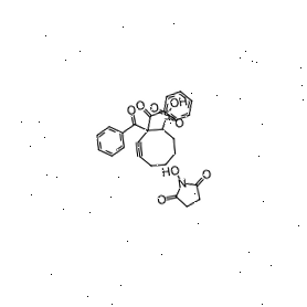 O=C(c1ccccc1)C1(C(=O)c2ccccc2)C#CCCCCC1S(=O)(=O)O.O=C1CCC(=O)N1O